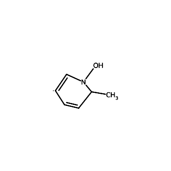 CC1C=C[C]=CN1O